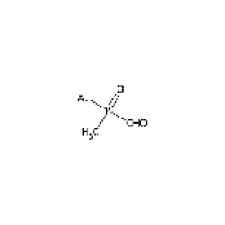 CC(=O)P(C)(=O)C=O